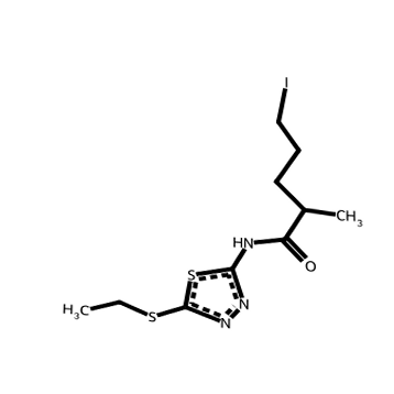 CCSc1nnc(NC(=O)C(C)CCCI)s1